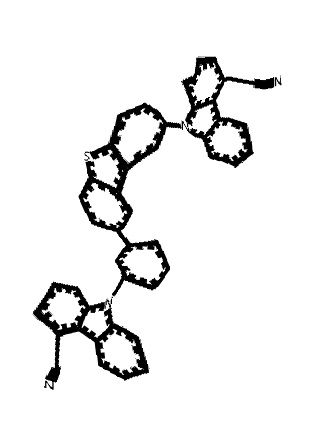 N#Cc1cccc2c1c1ccccc1n2-c1cccc(-c2ccc3sc4ccc(-n5c6ccccc6c6c(C#N)cccc65)cc4c3c2)c1